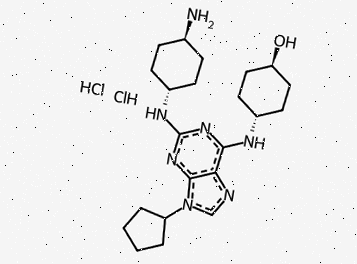 Cl.Cl.N[C@H]1CC[C@H](Nc2nc(N[C@H]3CC[C@H](O)CC3)c3ncn(C4CCCC4)c3n2)CC1